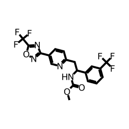 COC(=O)NC(Cc1ccc(-c2noc(C(F)(F)F)n2)cn1)c1cccc(C(F)(F)F)c1